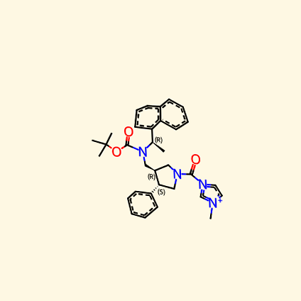 C[C@H](c1cccc2ccccc12)N(C[C@H]1CN(C(=O)n2cc[n+](C)c2)C[C@@H]1c1ccccc1)C(=O)OC(C)(C)C